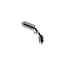 FC(F)(F)C(F)(F)C(F)(F)C(F)(F)CCCNCCCC(F)(F)C(F)(F)C(F)(F)C(F)(F)C(F)(F)C(F)(F)C(F)(F)C(F)(F)F